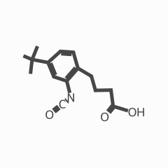 CC(C)(C)c1ccc(CCCC(=O)O)c(N=C=O)c1